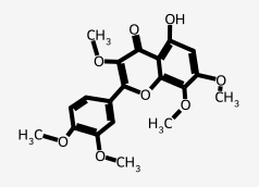 COc1ccc(-c2oc3c(OC)c(OC)cc(O)c3c(=O)c2OC)cc1OC